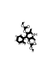 COC(=O)OC1=C(C)NC(C)=C(OC(=O)OC)C1c1ccccc1F